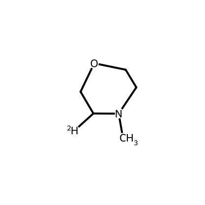 [2H]C1COCCN1C